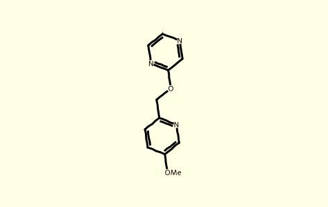 COc1ccc(COc2cn[c]cn2)nc1